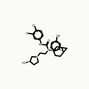 N#Cc1cccc([C@]23CC[C@@H](N(CCN4CC[C@@H](O)C4)C(=O)Nc4ccc(Cl)c(Cl)c4)CC2C3)c1